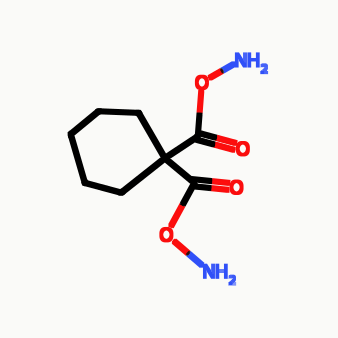 NOC(=O)C1(C(=O)ON)CCCCC1